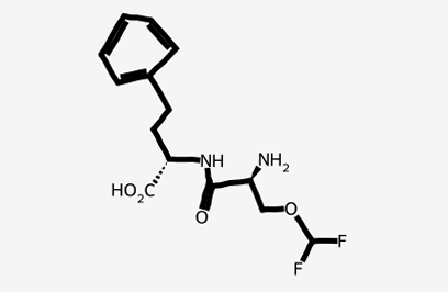 N[C@@H](COC(F)F)C(=O)N[C@@H](CCc1ccccc1)C(=O)O